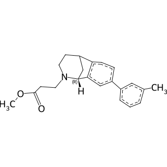 COC(=O)CCN1CCC2C[C@@H]1c1cc(-c3cccc(C)c3)ccc12